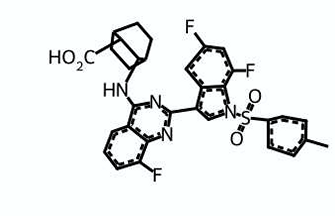 Cc1ccc(S(=O)(=O)n2cc(-c3nc(NC4C5CCC(CC5)C4C(=O)O)c4cccc(F)c4n3)c3cc(F)cc(F)c32)cc1